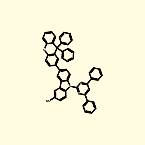 N#Cc1ccc2c(c1)c1cc(-c3ccc4c(c3)C(c3ccccc3)(c3ccccc3)c3ccccc3O4)ccc1n2-c1nc(-c2ccccc2)cc(-c2ccccc2)n1